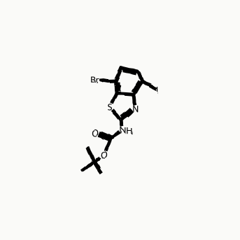 CC(C)(C)OC(=O)Nc1nc2c(I)ccc(Br)c2s1